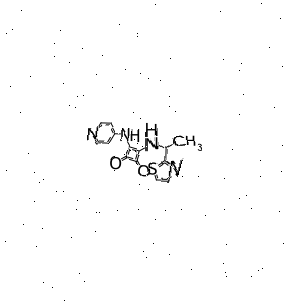 CC(Nc1c(Nc2ccncc2)c(=O)c1=O)c1nccs1